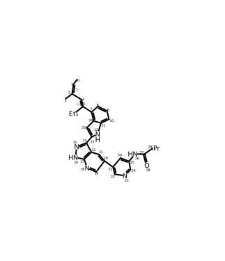 C/C=C(C)\C=C(/CC)c1cccc2[nH]c(-c3n[nH]c4ncc(-c5cncc(NC(=O)C(C)C)c5)cc34)cc12